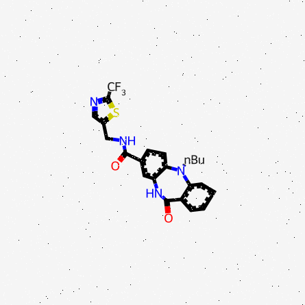 CCCCN1c2ccc(C(=O)NCc3cnc(C(F)(F)F)s3)cc2NC(=O)c2ccccc21